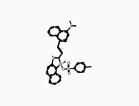 Cc1ccc(S(=O)(=O)O[N+]2(C)c3c(ccc4ccccc34)SC2/C=C/c2ccc(N(C)C)c3ccccc23)cc1